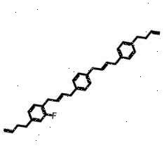 C=CCCc1ccc(C/C=C/Cc2ccc(C/C=C/Cc3ccc(CCC=C)cc3F)cc2)cc1